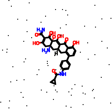 NC(=O)C1=C(O)C[C@]2(N)C[C@@H]3Cc4c(-c5ccc(NC(=O)C6CC6)cc5)ccc(O)c4C(=O)C3=C(O)[C@]2(O)C1=O